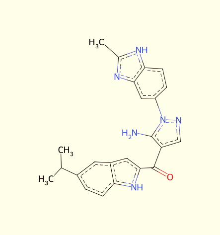 Cc1nc2cc(-n3ncc(C(=O)c4cc5cc(C(C)C)ccc5[nH]4)c3N)ccc2[nH]1